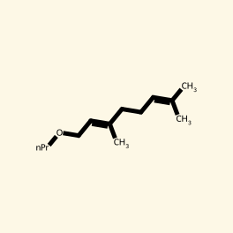 CCCOC/C=C(\C)CCC=C(C)C